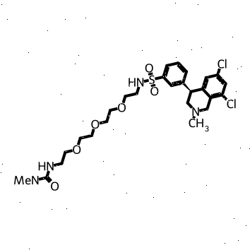 CNC(=O)NCCOCCOCCOCCNS(=O)(=O)c1cccc([C@@H]2CN(C)Cc3c(Cl)cc(Cl)cc32)c1